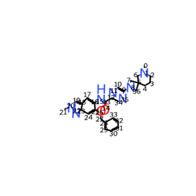 CN1CCCC2(C1)CN(c1cnc(C(=O)Nc3cc4cn(C)nc4cc3OCc3ccccc3)cn1)C2